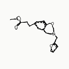 COC(=O)CCc1ccc2c(c1)CN(Cc1ccco1)CO2